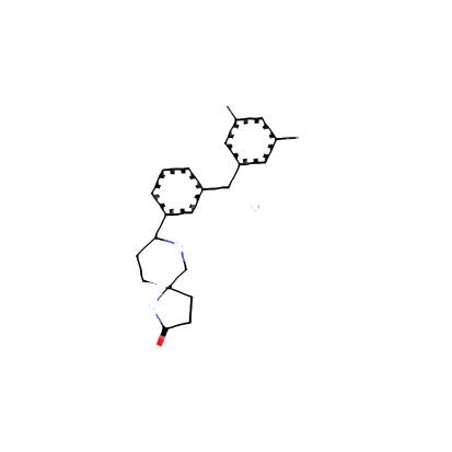 CO[C@@H](c1cc(C(F)(F)F)cc(C(F)(F)F)c1)c1cccc([C@]2(C)CC[C@]3(CCC(=O)N3)CN2)c1